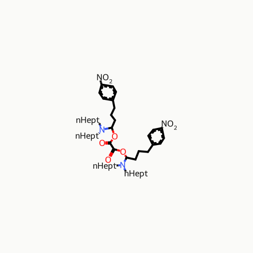 CCCCCCCN(CCCCCCC)C(CCCc1ccc([N+](=O)[O-])cc1)OC(=O)C(=O)OC(CCCc1ccc([N+](=O)[O-])cc1)N(CCCCCCC)CCCCCCC